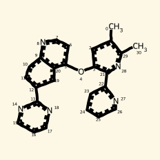 Cc1cc(Oc2ccnc3ccc(-c4ncccn4)cc23)c(-c2ccccn2)nc1C